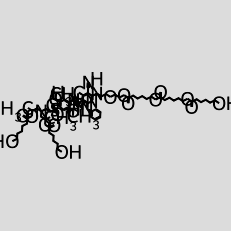 COc1cc(S(=O)(=O)CCN(CC(C)OC(=O)CCCCCO)CC(C)OC(=O)CCCCCO)c(OC)cc1/N=N/c1c(Nc2ccccc2)nc(NCCOCCOC(=O)CCCCCOC(=O)CCCCCOC(=O)CCCCCO)c(C#N)c1C